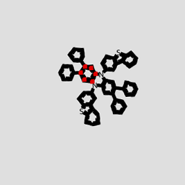 c1ccc(-c2ccc(N(c3ccc4sc5ccccc5c4c3)c3cc(-c4ccccc4)c(-c4ccccc4)cc3N(c3ccc(-c4ccccc4)cc3)c3ccc4sc5ccccc5c4c3)cc2)cc1